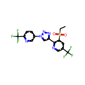 CCS(=O)(=O)c1cc(C(F)(F)F)cnc1-c1cn(-c2ccc(C(F)(F)F)nc2)nn1